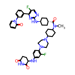 CN(C(=O)[C@H]1CC[C@H](Nc2ncc(F)c(-c3cccc(-n4ccccc4=O)c3)n2)CC1)C1CCC(N2CCN(c3ccc(NC4CCC(=O)NC4=O)cc3F)CC2)CC1